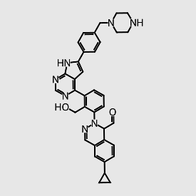 O=CC1c2ccc(C3CC3)cc2C=NN1c1cccc(-c2ncnc3[nH]c(-c4ccc(CN5CCNCC5)cc4)cc23)c1CO